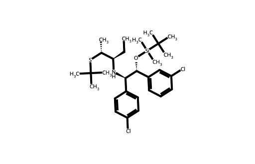 CC[C@@H](N[C@H](c1ccc(Cl)cc1)[C@H](O[Si](C)(C)C(C)(C)C)c1cccc(Cl)c1)[C@@H](C)SC(C)(C)C